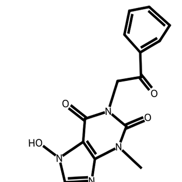 Cn1c(=O)n(CC(=O)c2ccccc2)c(=O)c2c1ncn2O